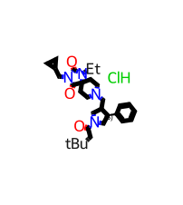 CCN1C(=O)N(CC2CC2)C(=O)C12CCN(CC1CN(C(=O)CC(C)(C)C)C[C@@H]1c1ccccc1)CC2.Cl